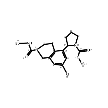 CCNC(=O)N1CCc2c(cc(Cl)cc2C2CCCN2C(=O)OC(C)(C)C)C1